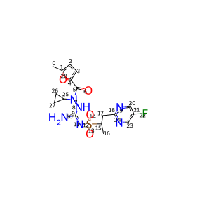 Cc1ccc(C(=O)N(NC(N)=NS(=O)(=O)C(C)Cc2ncc(F)cn2)C2CC2)o1